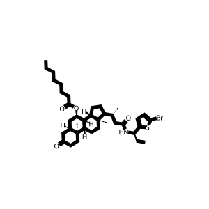 CCCCCCCC(=O)O[C@@H]1C[C@@H]2CC(=O)CC[C@]2(C)[C@H]2CC[C@]3(C)C([C@H](C)CC(=O)N[C@H](CC)c4ccc(Br)s4)CC[C@H]3[C@H]12